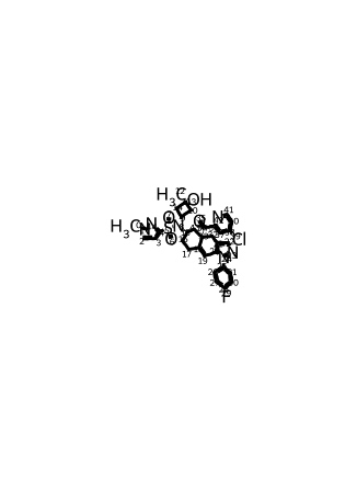 Cn1ccc(S(=O)(=O)N(C2CC(C)(O)C2)[C@H]2CCC3=Cc4c(cnn4-c4ccc(F)cc4)C[C@]3(C(=O)c3cc(Cl)ccn3)C2)n1